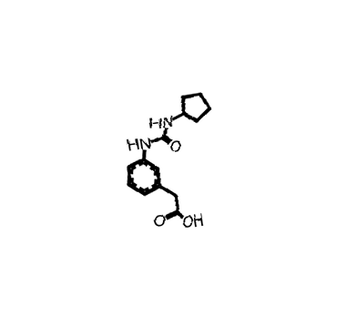 O=C(O)Cc1cccc(NC(=O)NC2CCCC2)c1